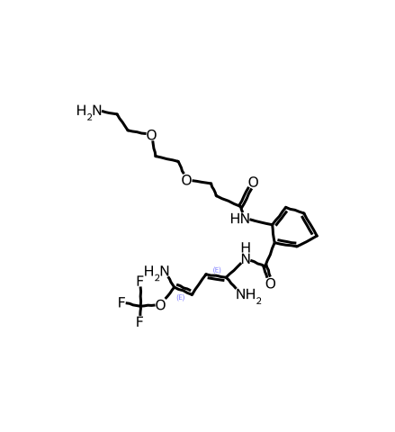 NCCOCCOCCC(=O)Nc1ccccc1C(=O)N/C(N)=C/C=C(\N)OC(F)(F)F